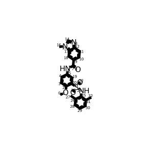 COc1ccc(NC(=O)c2ccc3ncn(C)c3c2)cc1S(=O)(=O)Nc1c(C)cccc1C